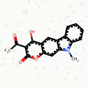 Cn1c2ccccc2c2cc3c(O)c(C(=O)C(F)(F)F)c(=O)oc3cc21